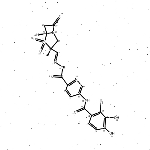 C[C@]1(/C=N/NC(=O)c2ccc(NC(=O)c3ccc(O)c(O)c3Cl)cn2)CN2C(=O)C[C@H]2S1(=O)=O